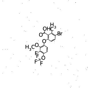 COc1c(Oc2ccc(Br)c(C)c2C(=O)O)ccc(OC(F)(F)F)c1F